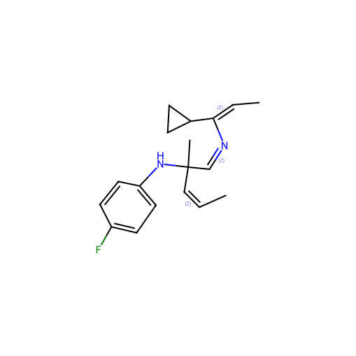 C/C=C\C(C)(/C=N\C(=C/C)C1CC1)Nc1ccc(F)cc1